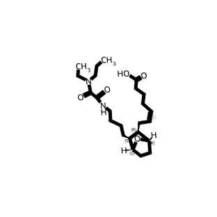 CCCN(CC)C(=O)C(=O)NCCCC[C@H]1[C@@H](C/C=C\CCCC(=O)O)[C@H]2CC[C@@H]1O2